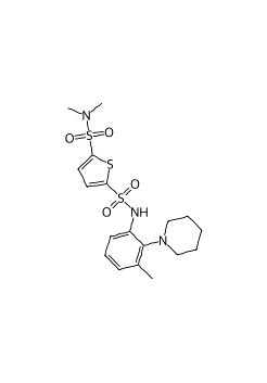 Cc1cccc(NS(=O)(=O)c2ccc(S(=O)(=O)N(C)C)s2)c1N1CCCCC1